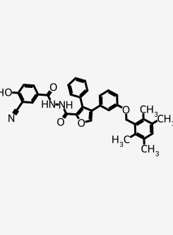 Cc1cc(C)c(C)c(COc2cccc(-c3coc(C(=O)NNC(=O)c4ccc(O)c(C#N)c4)c3-c3ccccc3)c2)c1C